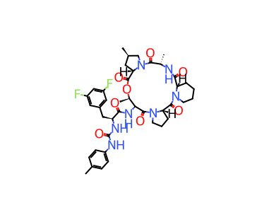 Cc1ccc(NC(=O)N[C@@H](Cc2cc(F)cc(F)c2)C(=O)N[C@@H]2C(=O)N3CCC[C@H]3C(=O)N3CCCC[C@H]3C(=O)N[C@@H](C)C(=O)N3C[C@H](C)C[C@H]3C(=O)O[C@@H]2C)cc1